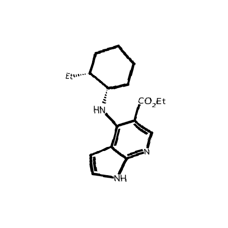 CCOC(=O)c1cnc2[nH]ccc2c1N[C@H]1CCCC[C@H]1CC